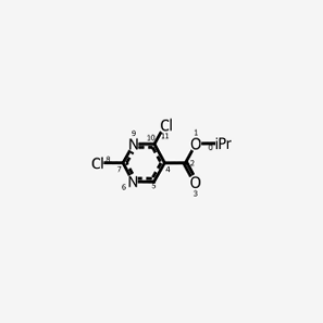 CC(C)OC(=O)c1cnc(Cl)nc1Cl